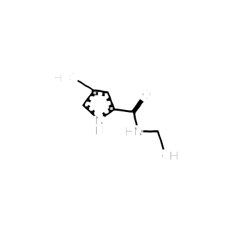 CCNC(=O)c1cc(C)c[nH]1